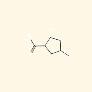 CC1CCC(C(=O)O)C1.[GaH3]